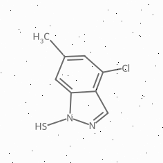 Cc1cc(Cl)c2cnn(S)c2c1